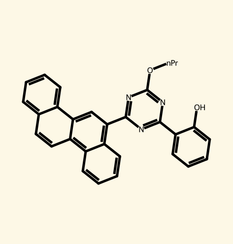 CCCOc1nc(-c2ccccc2O)nc(-c2cc3c4ccccc4ccc3c3ccccc23)n1